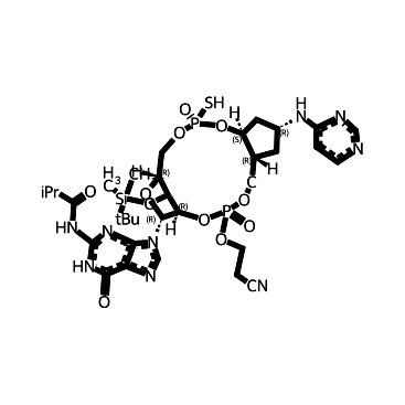 CC(C)C(=O)Nc1nc2c(ncn2[C@@H]2O[C@@H]3COP(=O)(S)O[C@H]4C[C@H](Nc5ccncn5)C[C@@H]4COP(=O)(OCCC#N)O[C@@H]2C3O[Si](C)(C)C(C)(C)C)c(=O)[nH]1